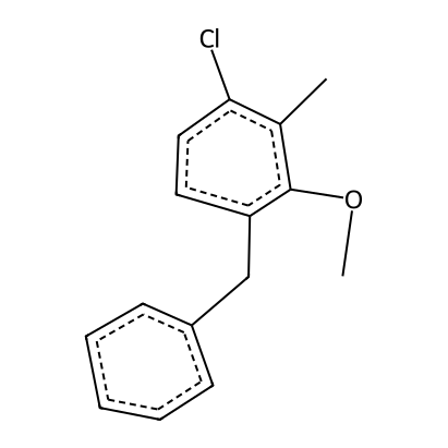 COc1c(Cc2ccccc2)ccc(Cl)c1C